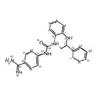 CC(Nc1ccccc1NC(=O)Nc1ccc(C(=N)N)cc1)c1ccccc1